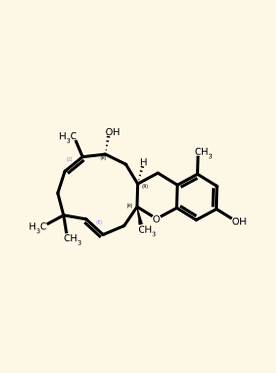 C/C1=C/CC(C)(C)/C=C/C[C@@]2(C)Oc3cc(O)cc(C)c3C[C@@H]2C[C@H]1O